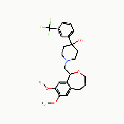 COc1cc2c(cc1OC)C(CN1CCC(O)(c3cccc(C(F)(F)F)c3)CC1)OCCC2